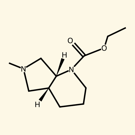 CCOC(=O)N1CCC[C@@H]2CN(C)C[C@@H]21